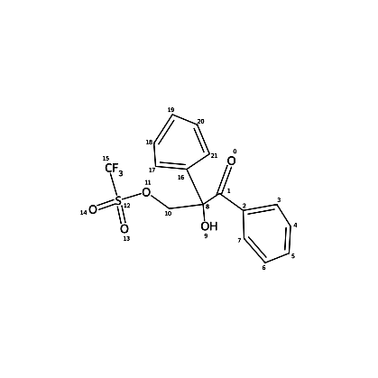 O=C(c1ccccc1)C(O)(COS(=O)(=O)C(F)(F)F)c1ccccc1